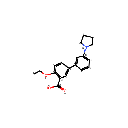 CCOc1ccc(-c2cccc(N3CCCC3)c2)cc1C(=O)O